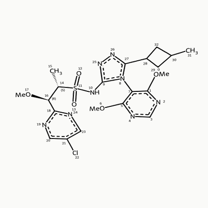 COc1ncnc(OC)c1-n1c(NS(=O)(=O)[C@@H](C)[C@H](OC)c2ncc(Cl)cn2)nnc1C1CC(C)C1